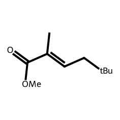 COC(=O)C(C)=CCC(C)(C)C